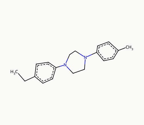 CCc1ccc(N2CCN(c3ccc(C)cc3)CC2)cc1